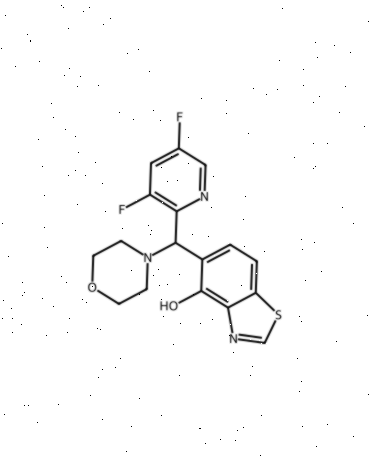 Oc1c(C(c2ncc(F)cc2F)N2CCOCC2)ccc2scnc12